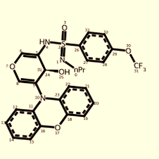 CCCN=S(=O)(NC1=COC=C(N2c3ccccc3Oc3ccccc32)[C@@H]1O)c1ccc(OC(F)(F)F)cc1